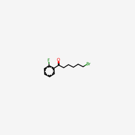 O=C(CCCCCBr)c1ccccc1F